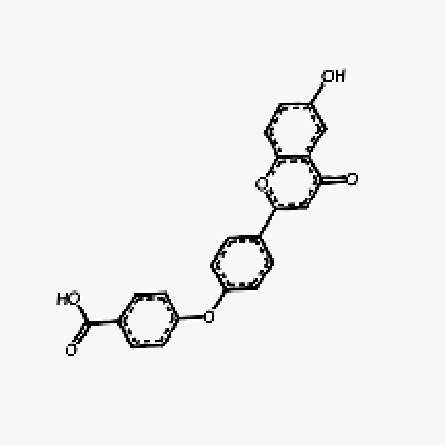 O=C(O)c1ccc(Oc2ccc(-c3cc(=O)c4cc(O)ccc4o3)cc2)cc1